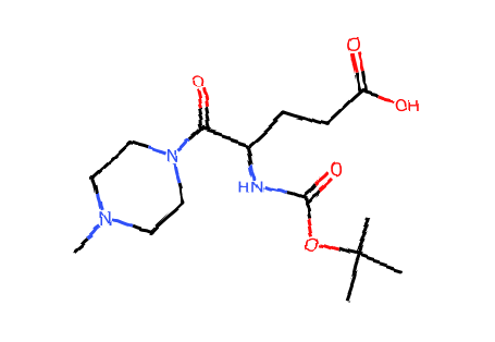 CN1CCN(C(=O)C(CCC(=O)O)NC(=O)OC(C)(C)C)CC1